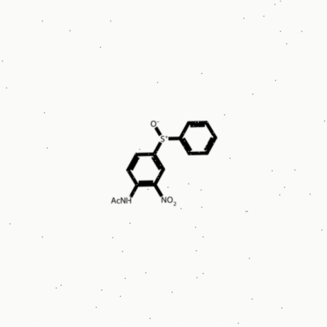 CC(=O)Nc1ccc([S+]([O-])c2ccccc2)cc1[N+](=O)[O-]